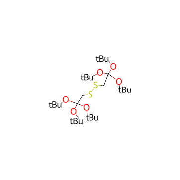 CC(C)(C)OC(CSSCC(OC(C)(C)C)(OC(C)(C)C)OC(C)(C)C)(OC(C)(C)C)OC(C)(C)C